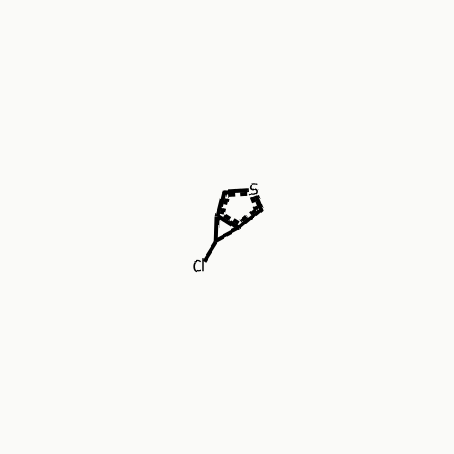 ClC1c2cscc21